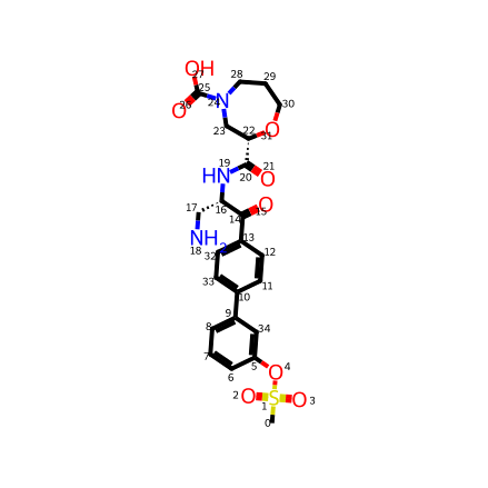 CS(=O)(=O)Oc1cccc(-c2ccc(C(=O)[C@H](CN)NC(=O)[C@@H]3CN(C(=O)O)CCCO3)cc2)c1